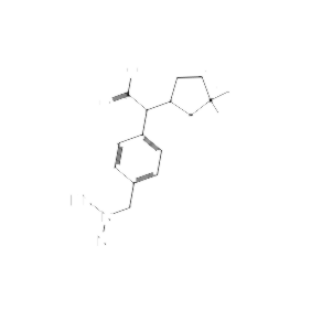 NN(N)Cc1ccc(C(C(=O)O)C2CCC(F)(F)C2)cc1